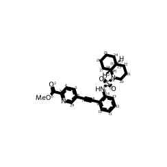 COC(=O)c1ccc(C#Cc2ccccc2NS(=O)(=O)N2CCC[C@@H]3CCCC[C@H]32)cn1